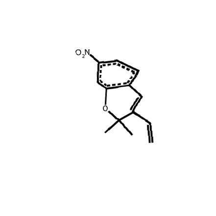 C=CC1=Cc2ccc([N+](=O)[O-])cc2OC1(C)C